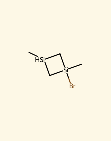 C[SiH]1C[Si](C)(Br)C1